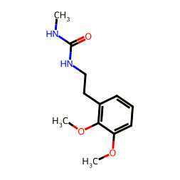 CNC(=O)NCCc1cccc(OC)c1OC